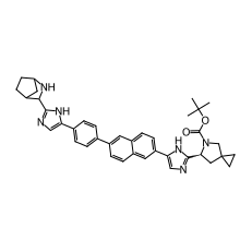 CC(C)(C)OC(=O)N1CC2(CC2)C[C@H]1c1ncc(-c2ccc3cc(-c4ccc(-c5cnc(C6NC7CCC6C7)[nH]5)cc4)ccc3c2)[nH]1